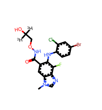 [2H]C([2H])(O)CONC(=O)c1cc2c(ncn2C)c(F)c1Nc1ccc(Br)cc1Cl